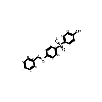 [O]c1ccc(S(=O)(=O)c2ccc(OCc3ccccc3)cc2)cc1